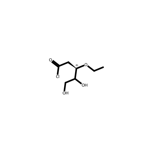 CCO[C@H](CC(=O)Cl)C(O)CO